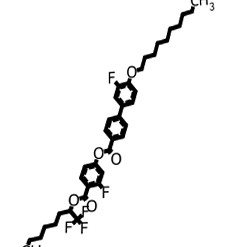 CCCCCCCCCCOc1ccc(-c2ccc(C(=O)Oc3ccc(C(=O)OC(CCCCCC)C(F)(F)F)c(F)c3)cc2)cc1F